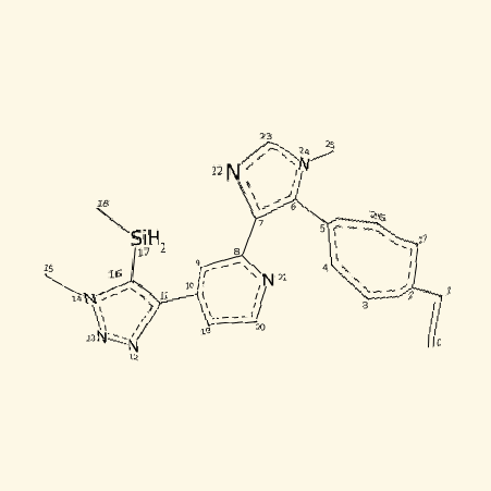 C=Cc1ccc(-c2c(-c3cc(-c4nnn(C)c4[SiH2]C)ccn3)ncn2C)cc1